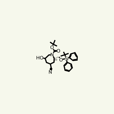 CC(C)(C)OC(=O)N1CC(O)CC(C#N)C[C@H]1CO[Si](c1ccccc1)(c1ccccc1)C(C)(C)C